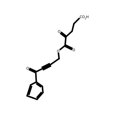 O=C(O)CCC(=O)C(=O)OCC#CC(=O)c1ccccc1